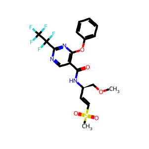 COC[C@@H](/C=C/S(C)(=O)=O)NC(=O)c1cnc(C(F)(F)C(F)(F)F)nc1Oc1ccccc1